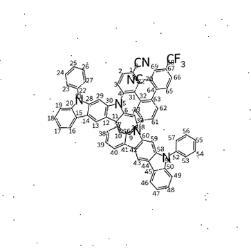 N#Cc1ccc(-n2c3ccccc3c3cc4c5ccccc5n(-c5ccccc5)c4cc32)c(-c2cc(-n3c4ccccc4c4cc5c6ccccc6n(-c6ccccc6)c5cc43)ccc2-c2ccc(C(F)(F)F)cc2C#N)c1